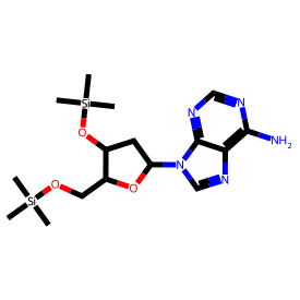 C[Si](C)(C)OCC1OC(n2cnc3c(N)ncnc32)CC1O[Si](C)(C)C